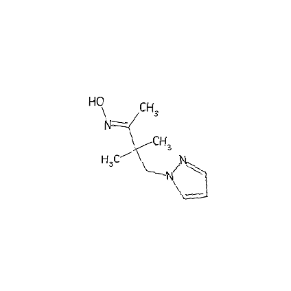 CC(=NO)C(C)(C)Cn1cccn1